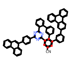 N#Cc1ccc(-c2cccc(-c3ccccc3-c3nc(-c4ccccc4)nc(-c4ccc(-c5cc6ccccc6c6ccccc56)cc4)n3)c2)c(-c2cccc(-c3ccc4c5ccccc5c5ccccc5c4c3)c2)c1